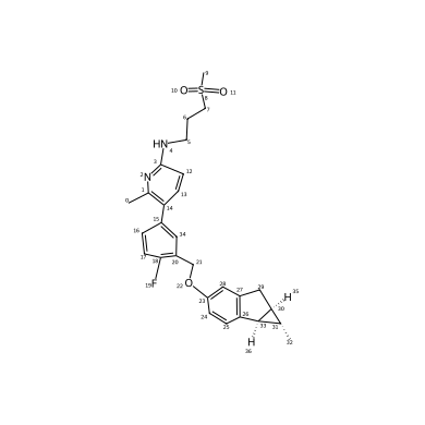 Cc1nc(NCCCS(C)(=O)=O)ccc1-c1ccc(F)c(COc2ccc3c(c2)C[C@H]2[C@H](C)[C@@H]32)c1